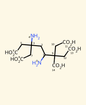 NC(CC(N)(CC(=O)O)CC(=O)O)C(CC(=O)O)(CC(=O)O)C(=O)O